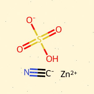 O=S(=O)([O-])O.[C-]#N.[Zn+2]